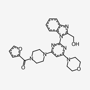 O=C(c1ccco1)N1CCN(c2cc(N3CCOCC3)nc(-n3c(CO)nc4ccccc43)n2)CC1